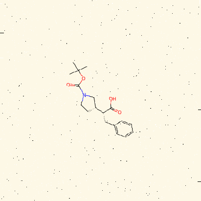 CC(C)(C)OC(=O)N1CC[C@@H]([C@@H](Cc2ccccc2)C(=O)O)C1